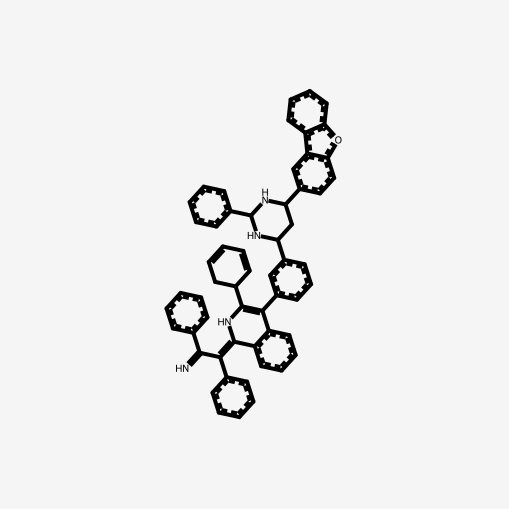 N=C(/C(=C1\NC(C2C=CC=CC2)=C(c2cccc(C3CC(c4ccc5oc6ccccc6c5c4)NC(c4ccccc4)N3)c2)c2ccccc21)c1ccccc1)c1ccccc1